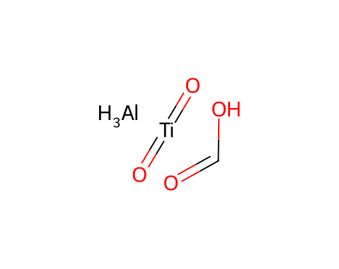 O=CO.[AlH3].[O]=[Ti]=[O]